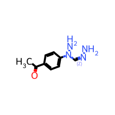 CC(=O)c1ccc(N(N)/C=N\N)cc1